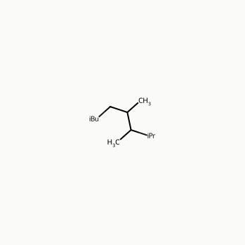 CCC(C)CC(C)C(C)C(C)C